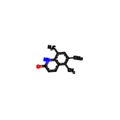 COc1cc(C)c2[nH]c(=O)ccc2c1C